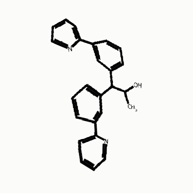 CC(O)C(c1cccc(-c2ccccn2)c1)c1cccc(-c2ccccn2)c1